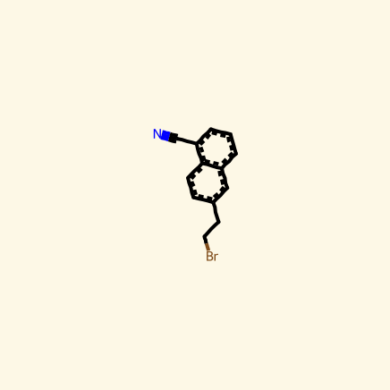 N#Cc1cccc2cc(CCBr)ccc12